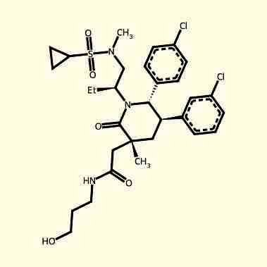 CC[C@@H](CN(C)S(=O)(=O)C1CC1)N1C(=O)[C@@](C)(CC(=O)NCCCO)C[C@H](c2cccc(Cl)c2)[C@H]1c1ccc(Cl)cc1